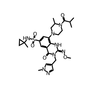 CON=c1[nH]c2c(N3CCN(C(=O)C(C)C)C(C)C3)cc(S(=O)(=O)NC3(C)CC3)cc2c(=O)n1Cc1cnn(C)c1